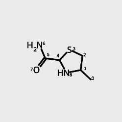 CC1CSC(C(N)=O)N1